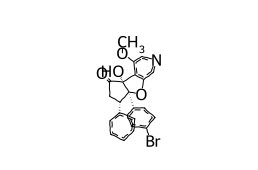 COc1cncc2c1[C@]1(O)C(=O)C[C@@H](c3ccccc3)[C@]1(c1ccc(Br)cc1)O2